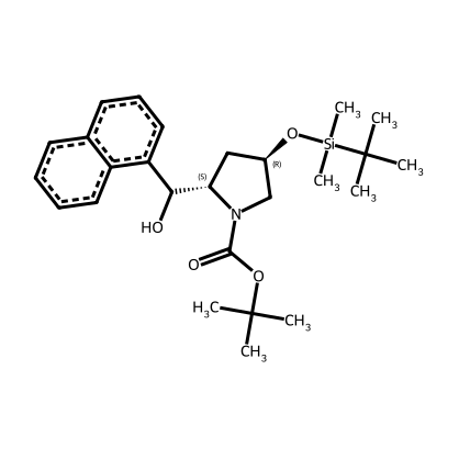 CC(C)(C)OC(=O)N1C[C@H](O[Si](C)(C)C(C)(C)C)C[C@H]1C(O)c1cccc2ccccc12